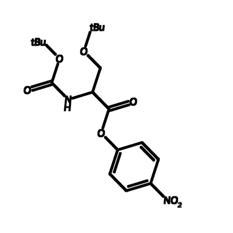 CC(C)(C)OCC(NC(=O)OC(C)(C)C)C(=O)Oc1ccc([N+](=O)[O-])cc1